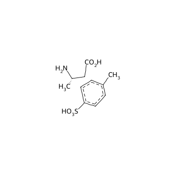 C[C@H](N)CC(=O)O.Cc1ccc(S(=O)(=O)O)cc1